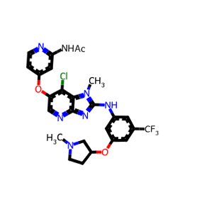 CC(=O)Nc1cc(Oc2cnc3nc(Nc4cc(OC5CCN(C)C5)cc(C(F)(F)F)c4)n(C)c3c2Cl)ccn1